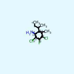 CCC(C)c1c(C)c(Cl)c(F)c(Cl)c1N